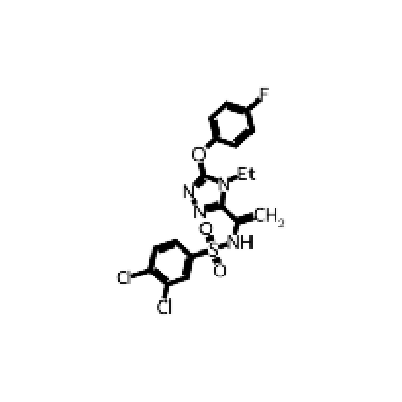 C=C(NS(=O)(=O)c1ccc(Cl)c(Cl)c1)c1nnc(Oc2ccc(F)cc2)n1CC